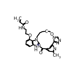 C=CC(=O)NCCOc1cccc2c1N1CCCCCOn3cnnc3-c3cc(cc(C)n3)C(=O)/N=C/1N2